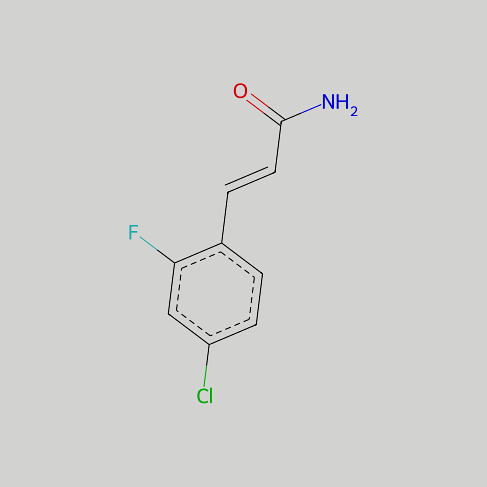 NC(=O)C=Cc1ccc(Cl)cc1F